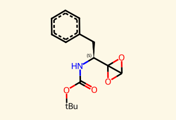 CC(C)(C)OC(=O)N[C@@H](Cc1ccccc1)C12OC1O2